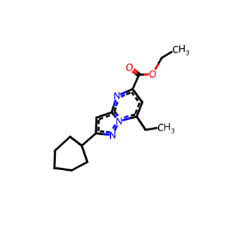 CCOC(=O)c1cc(CC)n2nc(C3CCCCC3)cc2n1